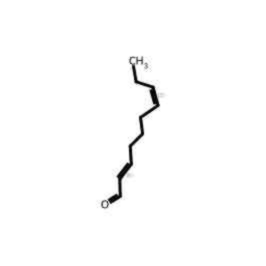 CC/C=C\CCC/C=C/C=O